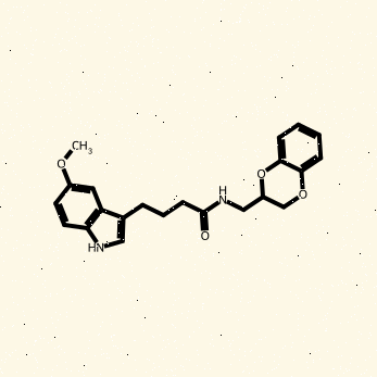 COc1ccc2[nH]cc(CCCC(=O)NCC3COc4ccccc4O3)c2c1